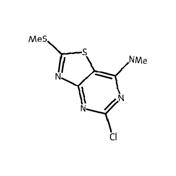 CNc1nc(Cl)nc2nc(SC)sc12